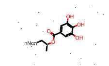 CCCCCCCCCCC(C)OC(=O)c1cc(O)c(O)c(O)c1